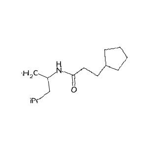 [CH2]C(CC(C)C)NC(=O)CCC1CCCC1